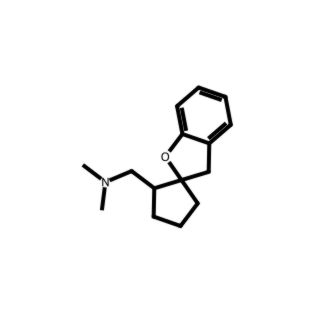 CN(C)CC1CCCC12Cc1ccccc1O2